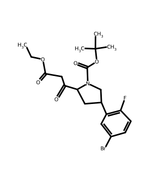 CCOC(=O)CC(=O)C1CC(c2cc(Br)ccc2F)CN1C(=O)OC(C)(C)C